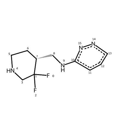 FC1(F)CNCC[C@@H]1CNc1cccnn1